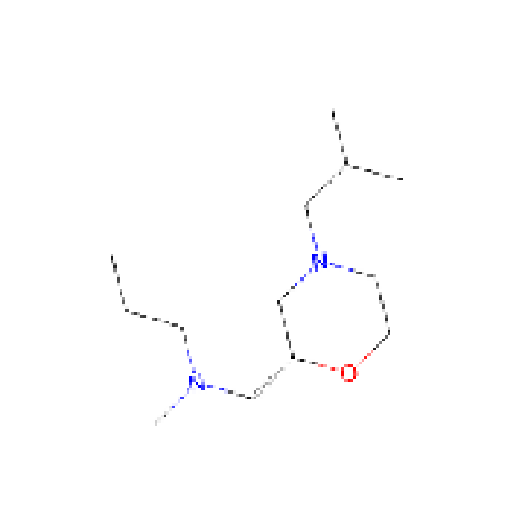 CCCN(C)C[C@@H]1CN(CC(C)C)CCO1